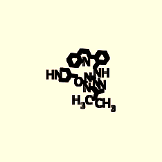 CC(C)c1cnn2c(NCc3ccccc3-c3ccc4ccccc4n3)nc(OCC3CCNCC3)nc12